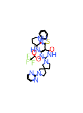 O=C1NC(N2CCC3(CCN(c4ncccn4)C3)C2)N(OC(=O)C(F)(F)F)C(N[C@@H]2CCCNC2)=C1c1nc2ccccc2s1